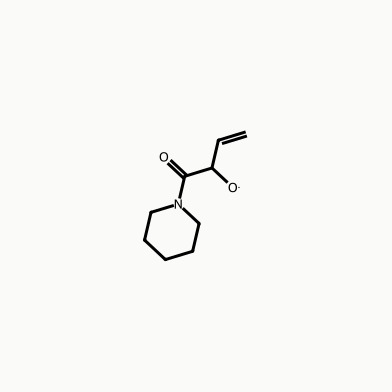 C=CC([O])C(=O)N1CCCCC1